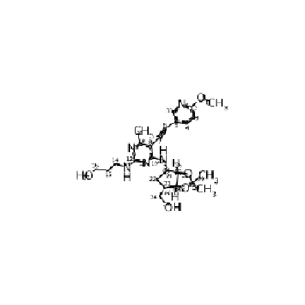 COc1ccc(C#Cc2c(C)nc(NCCCO)nc2N[C@@H]2C[C@H](CO)[C@H]3OC(C)(C)O[C@H]32)cn1